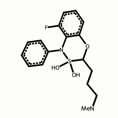 CNCCCC1Oc2cccc(F)c2N(c2ccccc2)S1(O)O